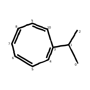 CC(C)C1=CC=CC=CC=C1